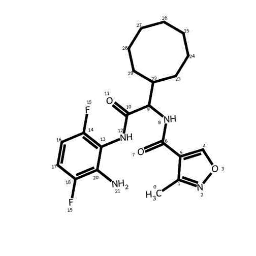 Cc1nocc1C(=O)NC(C(=O)Nc1c(F)ccc(F)c1N)C1CCCCCCC1